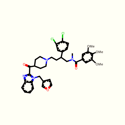 COc1cc(C(=O)N(C)CC(CCN2CCC(C(=O)c3nc4ccccc4n3Cc3ccoc3)CC2)c2ccc(Cl)c(Cl)c2)cc(OC)c1OC